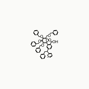 O=C(O)c1ccc(C(Cc2ccccc2)c2cccs2)cc1[C@@H]1O[C@H](COCc2ccccc2)[C@@H](OCc2ccccc2)[C@H](OCc2ccccc2)[C@H]1OCc1ccccc1